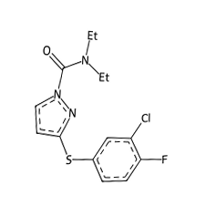 CCN(CC)C(=O)n1ccc(Sc2ccc(F)c(Cl)c2)n1